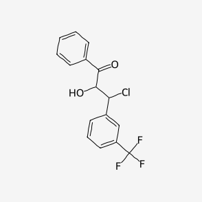 O=C(c1ccccc1)C(O)C(Cl)c1cccc(C(F)(F)F)c1